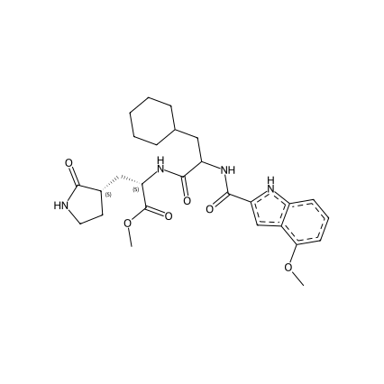 COC(=O)[C@H](C[C@@H]1CCNC1=O)NC(=O)C(CC1CCCCC1)NC(=O)c1cc2c(OC)cccc2[nH]1